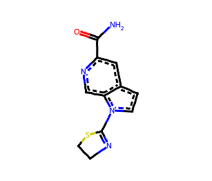 NC(=O)c1cc2ccn(C3=NCCS3)c2cn1